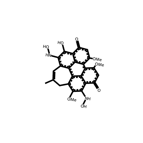 COc1c(NO)c2c(=O)cc(OC)c3c4c(OC)cc(=O)c5c(O)c(NO)c6c(c(c1CC(C)=C6)c23)c54